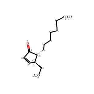 CCOC(=O)CCCCCC[C@H]1C(=O)C=C[C@@H]1COC(C)=O